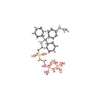 COc1ccc(C(OCCS(=O)(=O)CCOP(=O)(O)OP(=O)(O)O)(c2ccccc2)c2ccccc2)cc1